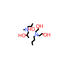 CC(O)CN(C)CC(C)O.CCCCN(CCO)CCO